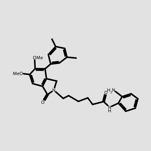 COc1cc2c(c(-c3cc(C)cc(C)c3)c1OC)CN(CCCCCC(=O)Nc1ccccc1N)C2=O